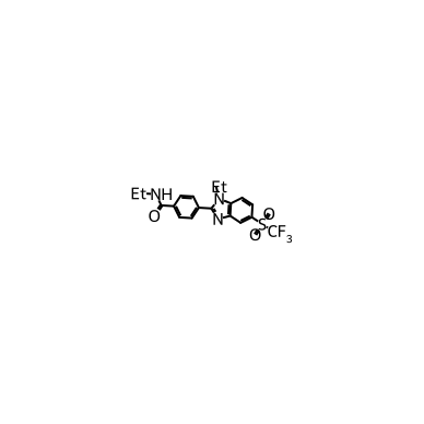 CCNC(=O)c1ccc(-c2nc3cc(S(=O)(=O)C(F)(F)F)ccc3n2CC)cc1